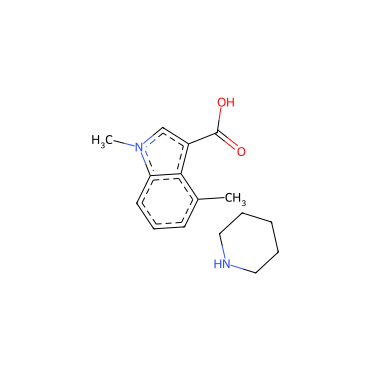 C1CCNCC1.Cc1cccc2c1c(C(=O)O)cn2C